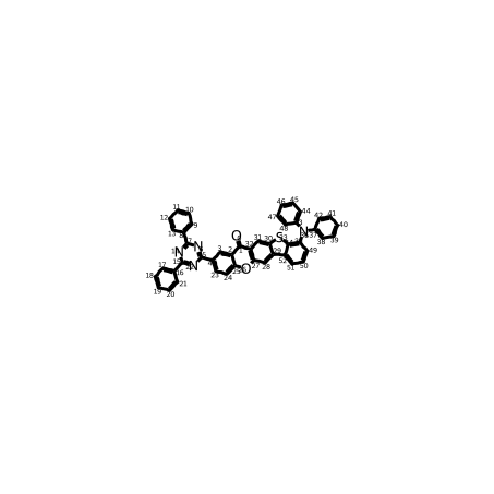 O=c1c2cc(-c3nc(-c4ccccc4)nc(-c4ccccc4)n3)ccc2oc2cc3c(cc12)sc1c(N(c2ccccc2)c2ccccc2)cccc13